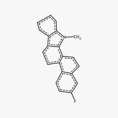 Cn1c2ccccc2c2ccc3c4ccc(F)cc4ccc3c21